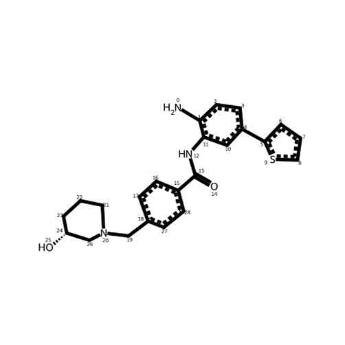 Nc1ccc(-c2cccs2)cc1NC(=O)c1ccc(CN2CCC[C@@H](O)C2)cc1